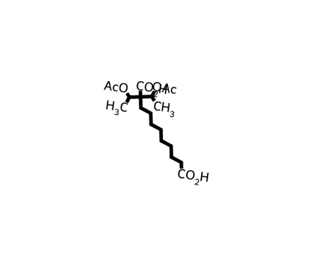 CC(=O)OC(C)C(CCCCCCCCC(=O)O)(C(=O)O)C(C)OC(C)=O